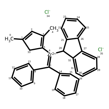 CC1=CC(C)=[C]([Zr+2](=[C](c2ccccc2)c2ccccc2)[CH]2c3ccccc3-c3ccccc32)C1.[Cl-].[Cl-]